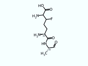 C[C@@H]([C]=O)NC(=O)[C@@H](N)CCC(F)C(N)C(=O)O